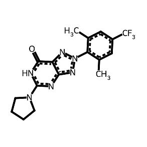 Cc1cc(C(F)(F)F)cc(C)c1-n1nc2nc(N3CCCC3)[nH]c(=O)c2n1